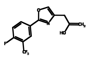 C=C(O)Cc1coc(-c2ccc(F)c(C(F)(F)F)c2)n1